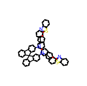 c1ccc(-c2ccc(N(c3ccc(-c4nc5ccccc5s4)cc3)c3ccc4c(c3)C3(c5ccccc5-4)c4ccccc4-c4ccc(N(c5ccc(-c6ccccc6)cc5)c5ccc(-c6nc7ccccc7s6)cc5)cc43)cc2)cc1